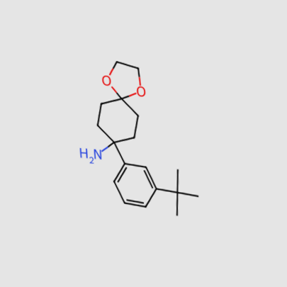 CC(C)(C)c1cccc(C2(N)CCC3(CC2)OCCO3)c1